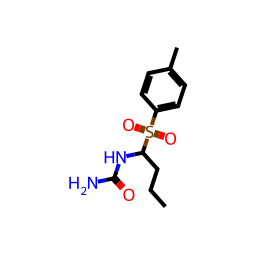 CCCC(NC(N)=O)S(=O)(=O)c1ccc(C)cc1